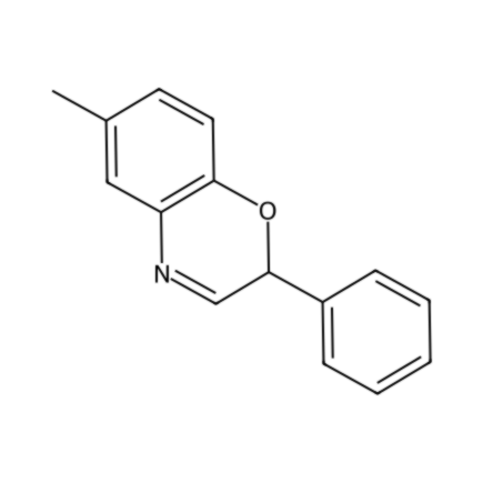 Cc1ccc2c(c1)N=CC(c1ccccc1)O2